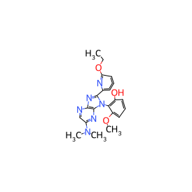 CCOC1=NC(c2nc3ncc(N(C)C)nc3n2-c2c(O)cccc2OC)=C=C=C1